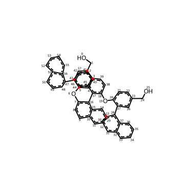 OCc1ccc(Oc2ccc3ccccc3c2-c2c(Oc3ccc(CO)cc3-c3cccc4ccccc34)ccc3ccccc23)c(-c2cccc3ccccc23)c1